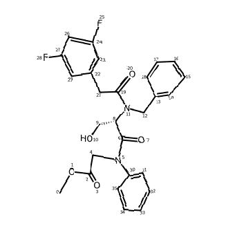 COC(=O)CN(C(=O)[C@H](CO)N(Cc1ccccc1)C(=O)Cc1cc(F)cc(F)c1)c1ccccc1